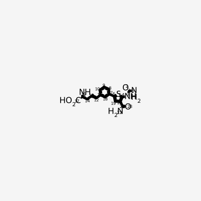 NC(=O)Nc1sc(-c2cccc(C=CC[C@H](N)C(=O)O)c2)cc1C(N)=O